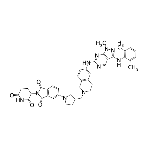 Cc1cccc(C)c1Nc1nn(C)c2nc(Nc3ccc4c(c3)CCN(CC3CCN(c5ccc6c(c5)C(=O)N(C5CCC(=O)NC5=O)C6=O)C3)C4)ncc12